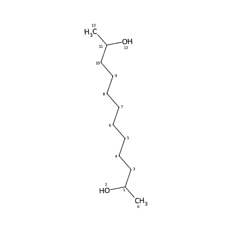 CC(O)CCCCCCCCC(C)O